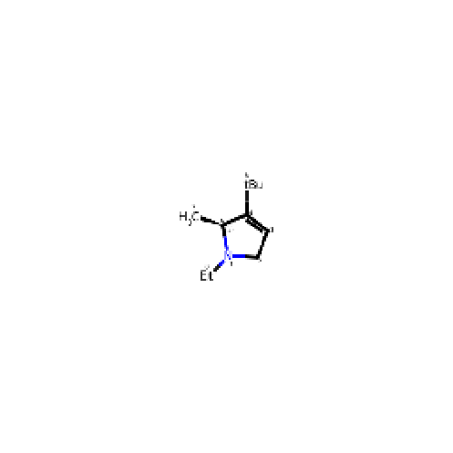 CCN1CC=C(C(C)(C)C)[C@@H]1C